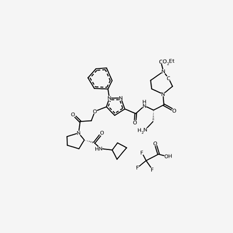 CCOC(=O)N1CCN(C(=O)[C@H](CN)NC(=O)c2cc(OCC(=O)N3CCC[C@H]3C(=O)NC3CCC3)n(-c3ccccc3)n2)CC1.O=C(O)C(F)(F)F